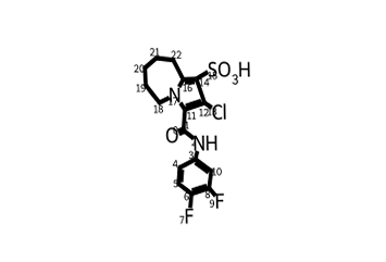 O=C(Nc1ccc(F)c(F)c1)c1c(Cl)c(S(=O)(=O)O)c2n1CCCCC2